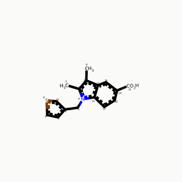 Cc1c(C)n(Cc2ccsc2)c2ccc(C(=O)O)cc12